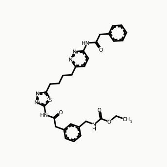 CCOC(=O)NCc1cccc(CC(=O)Nc2nnc(CCCCc3ccc(NC(=O)Cc4ccccc4)nn3)s2)c1